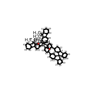 CC(C)C(C)(C)c1ccc(-c2ccc3c(c2)C2(c4ccccc4-c4ccc(-c5ccc(N(c6ccc7c(c6)C(C)(C)c6ccccc6-7)c6ccc7c(c6)C(C)(C)c6ccccc6-7)cc5)cc42)c2ccccc2-3)cc1